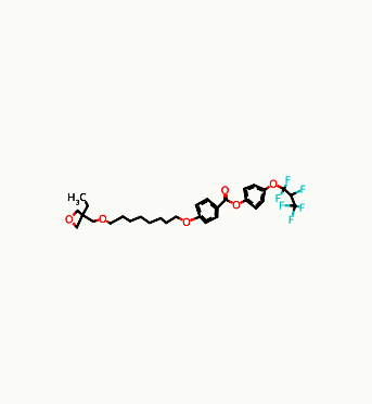 CCC1(COCCCCCCCCOc2ccc(C(=O)Oc3ccc(OC(F)(F)C(F)C(F)(F)F)cc3)cc2)COC1